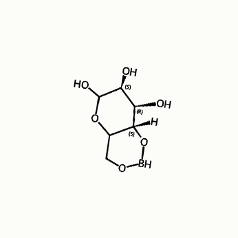 OC1OC2COBO[C@H]2[C@H](O)[C@@H]1O